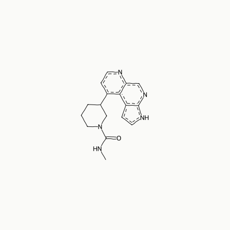 CNC(=O)N1CCCC(c2ccnc3cnc4[nH]ccc4c23)C1